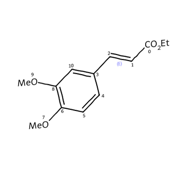 CCOC(=O)/C=C/c1ccc(OC)c(OC)c1